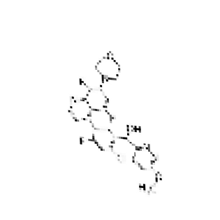 COc1ccc([C@H](O)c2cc(-c3ccnc4c(F)c(N5CCOCC5)cc(F)c34)c(F)cc2Cl)nn1